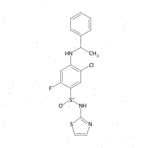 CC(Nc1cc(F)c([S+]([O-])Nc2nccs2)cc1Cl)c1ccccc1